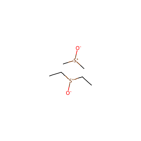 CC[S+]([O-])CC.C[S+](C)[O-]